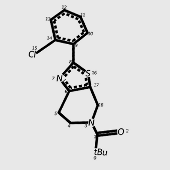 CC(C)(C)C(=O)N1CCc2nc(-c3ccccc3Cl)sc2C1